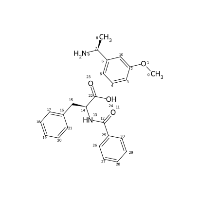 COc1cccc([C@H](C)N)c1.O=C(N[C@@H](Cc1ccccc1)C(=O)O)c1ccccc1